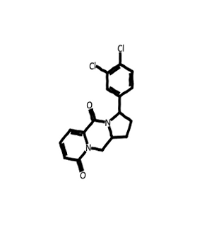 O=C1c2cccc(=O)n2CC2CCC(c3ccc(Cl)c(Cl)c3)N12